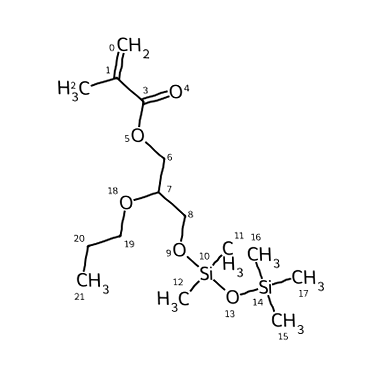 C=C(C)C(=O)OCC(CO[Si](C)(C)O[Si](C)(C)C)OCCC